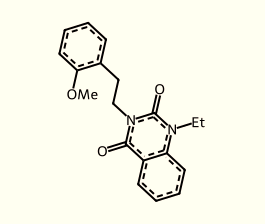 CCn1c(=O)n(CCc2ccccc2OC)c(=O)c2ccccc21